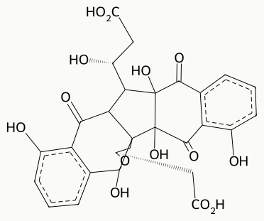 O=C(O)C[C@@H]1CC23C(C(=O)c4c(O)cccc4C2(O)O1)C([C@H](O)CC(=O)O)C1(O)C(=O)c2cccc(O)c2C(=O)C13O